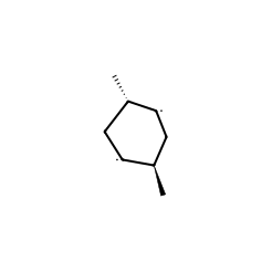 C[C@@H]1[CH]C[C@@H](C)[CH]C1